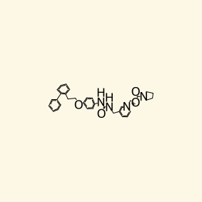 O=C(NCc1ccc[n+](COC(=O)N2CCCC2)c1)Nc1ccc(OCCc2ccccc2-c2ccccc2)cc1